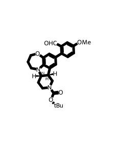 COc1ccc(-c2cc3c4c(c2)[C@@H]2CN(C(=O)OC(C)(C)C)CC[C@@H]2N4CCCO3)c(C=O)c1